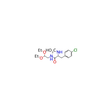 CCOC(CNC(=O)C(Cc1ccc(Cl)cc1)NC(=O)O)OCC